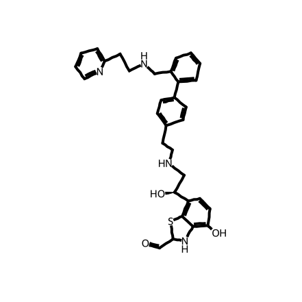 O=CC1Nc2c(O)ccc([C@@H](O)CNCCc3ccc(-c4ccccc4CNCCc4ccccn4)cc3)c2S1